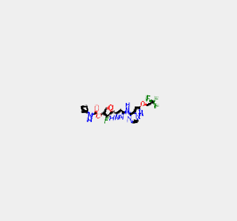 O=C(NC12CC(C1)C2)O[C@@H]1CO[C@H](c2cc(Nc3nccn4nc(OCC(F)(F)F)cc34)n[nH]2)[C@H]1F